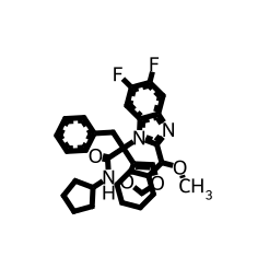 COC(c1nc2cc(F)c(F)cc2n1C(Cc1ccccc1)(C(=O)NC1CCCC1)C1=COCO1)C1CCCCC1